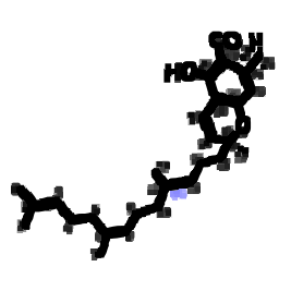 CC(C)=CCCC(C)=CCC/C(C)=C/CC[C@@]1(C)C=Cc2c(cc(C)c(C(=O)O)c2O)O1